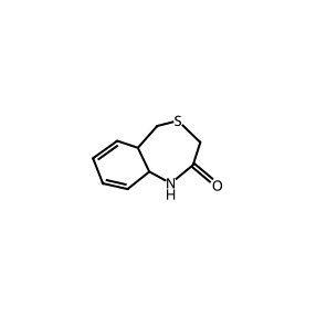 O=C1CSCC2C=CC=CC2N1